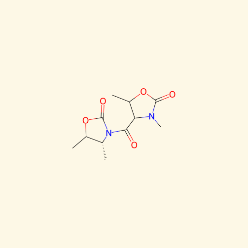 CC1OC(=O)N(C)C1C(=O)N1C(=O)OC(C)[C@H]1C